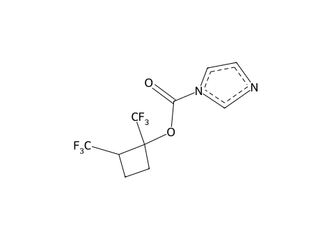 O=C(OC1(C(F)(F)F)CCC1C(F)(F)F)n1ccnc1